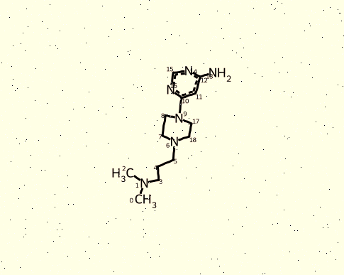 CN(C)CCCN1CCN(c2cc(N)ncn2)CC1